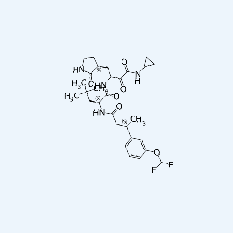 C[C@@H](CC(=O)N[C@@H](CC(C)(C)C)C(=O)NC(C[C@@H]1CCNC1=O)C(=O)C(=O)NC1CC1)c1cccc(OC(F)F)c1